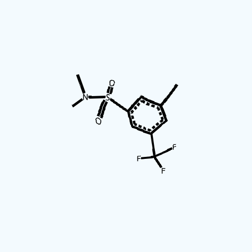 Cc1cc(C(F)(F)F)cc(S(=O)(=O)N(C)C)c1